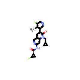 Cc1c(F)cncc1-c1cc2cnc(NC(=O)[C@@H]3C[C@H]3F)cc2n(CC2CC2)c1=O